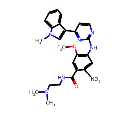 CN(C)CCNC(=O)c1cc(OC(F)(F)F)c(Nc2nccc(-c3cn(C)c4ccccc34)n2)cc1[N+](=O)[O-]